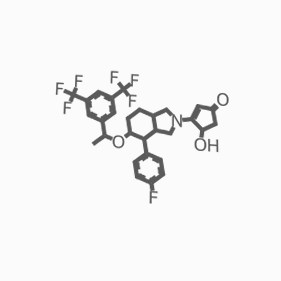 CC(OC1CCC2CN(C3=CC(=O)CC3O)CC2C1c1ccc(F)cc1)c1cc(C(F)(F)F)cc(C(F)(F)F)c1